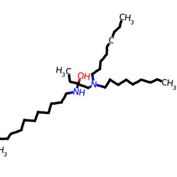 CCCCCCCCCCCCNC(O)(CC)CN(CCCCCCCCC)CCCCCCCCC